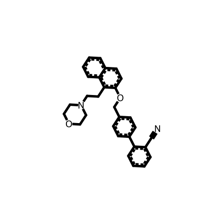 N#Cc1ccccc1-c1ccc(COc2ccc3ccccc3c2CCN2CCOCC2)cc1